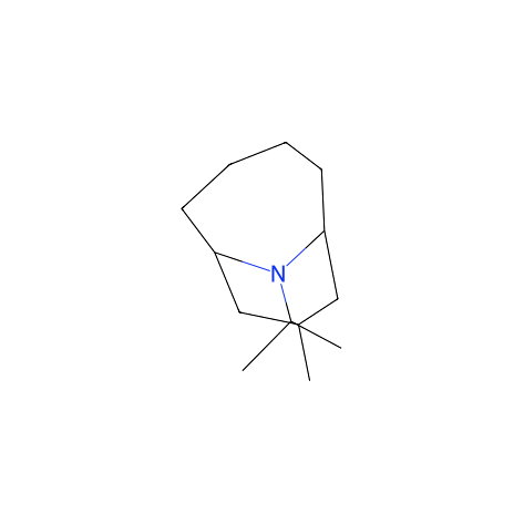 CC1CC2CCCCC(C1)N2C(C)C